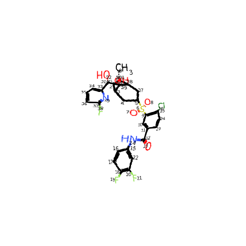 C[C@H]1CC2CC(S(=O)(=O)c3cc(C(=O)Nc4ccc(F)c(F)c4)ccc3Cl)CC1[C@@]2(O)[C@@H](O)c1cccc(F)n1